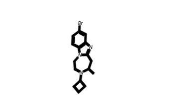 CC1Cc2nc3cc(Br)ccc3n2CCN1C1CCC1